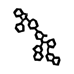 C=c1cc(C2=CC=C(c3nc4ccccc4n3-c3ccccc3)CC=C2)cc/c1=C(\c1ccc2ccccc2c1)c1ccccc1Cc1ccc2ccccc2c1